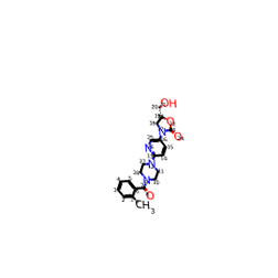 Cc1ccccc1C(=O)N1CCN(c2ccc(N3C[C@H](CO)OC3=O)cn2)CC1